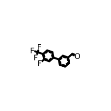 O=Cc1cccc(-c2ccc(C(F)(F)F)c(F)c2)c1